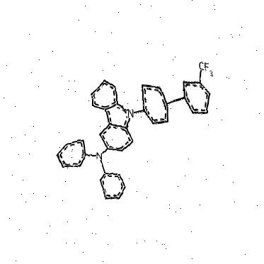 FC(F)(F)c1cccc(-c2ccc(-n3c4ccccc4c4cc(N(c5ccccc5)c5ccccc5)ccc43)cc2)c1